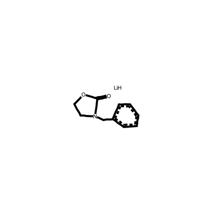 O=C1OCCN1Cc1ccccc1.[LiH]